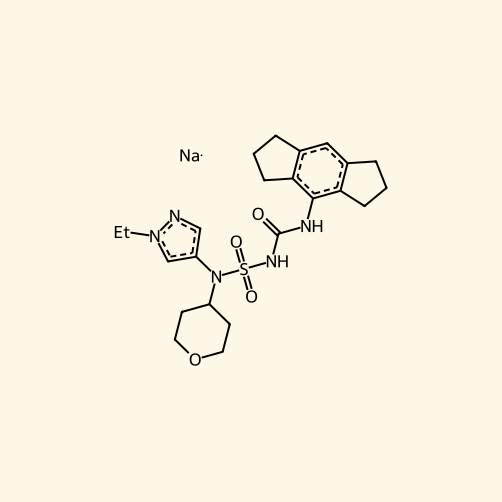 CCn1cc(N(C2CCOCC2)S(=O)(=O)NC(=O)Nc2c3c(cc4c2CCC4)CCC3)cn1.[Na]